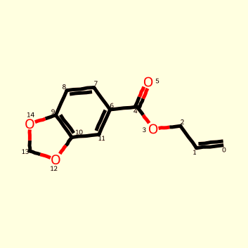 C=CCOC(=O)c1ccc2c(c1)OCO2